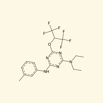 CCN(CC)c1nc(Nc2cccc(C)c2)nc(OC(C(F)(F)F)C(F)(F)F)n1